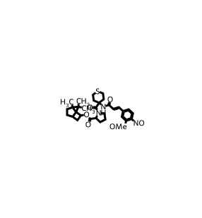 COc1cc(/C=C/C(=O)NC2(C(=O)N3CCCC3C(=O)OC3CC4CCC5(C)C(C)(C)C435)CCSCC2)ccc1N=O